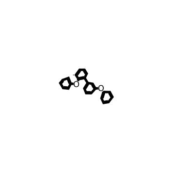 [c]1cccc(-c2cccc(Oc3ccccc3)c2)c1Oc1ccccc1